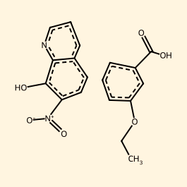 CCOc1cccc(C(=O)O)c1.O=[N+]([O-])c1ccc2cccnc2c1O